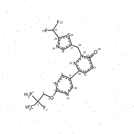 CC(F)(P)COc1ncc(-c2ccc(=O)n(Cc3cnc(C(F)F)s3)n2)cn1